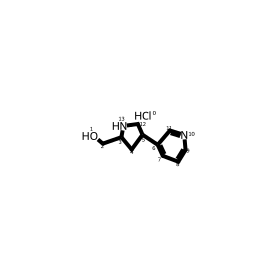 Cl.OCC1CC(c2cccnc2)CN1